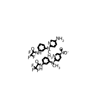 CN(c1cccc(NC(=O)C(F)(F)F)c1)c1ccc(N)cn1.CN(c1cccc(NC(=O)C(F)(F)F)c1)c1ccc([N+](=O)[O-])cn1